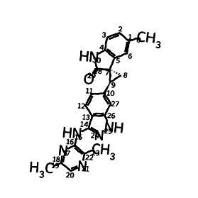 Cc1ccc2c(c1)[C@]1(C[C@H]1c1ccc3c(Nc4nc(C)cnc4C)n[nH]c3c1)C(=O)N2